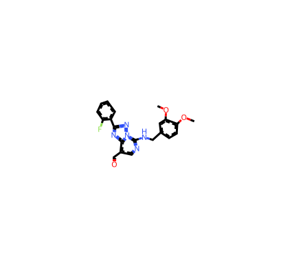 COc1ccc(CNc2ncc(C=O)c3nc(-c4ccccc4F)nn23)cc1OC